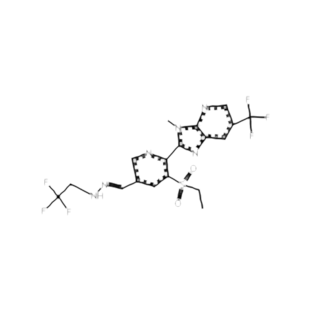 CCS(=O)(=O)c1cc(/C=N/NCC(F)(F)F)cnc1-c1nc2cc(C(F)(F)F)cnc2n1C